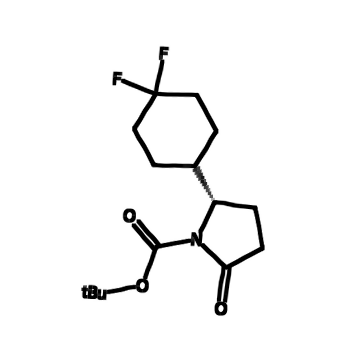 CC(C)(C)OC(=O)N1C(=O)CC[C@H]1C1CCC(F)(F)CC1